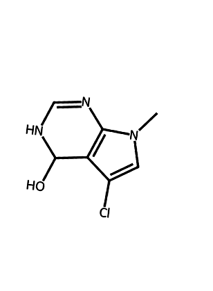 Cn1cc(Cl)c2c1N=CNC2O